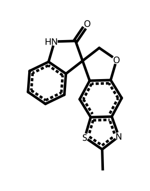 Cc1nc2cc3c(cc2s1)C1(CO3)C(=O)Nc2ccccc21